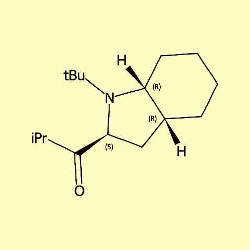 CC(C)C(=O)[C@@H]1C[C@H]2CCCC[C@H]2N1C(C)(C)C